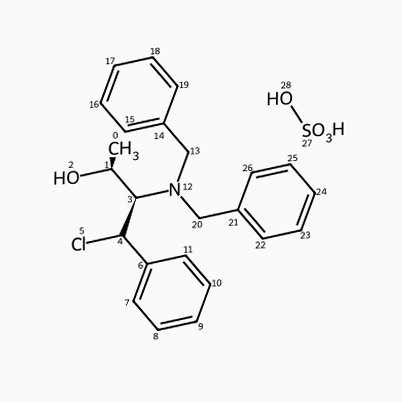 C[C@H](O)[C@H](C(Cl)c1ccccc1)N(Cc1ccccc1)Cc1ccccc1.O=S(=O)(O)O